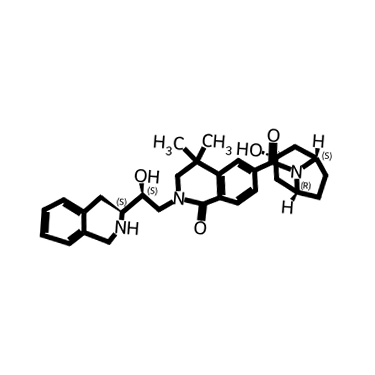 CC1(C)CN(C[C@H](O)[C@@H]2Cc3ccccc3CN2)C(=O)c2ccc(C(=O)N3[C@@H]4CC[C@H]3C[C@@H](O)C4)cc21